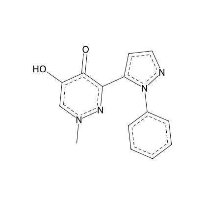 Cn1cc(O)c(=O)c(-c2ccnn2-c2ccccc2)n1